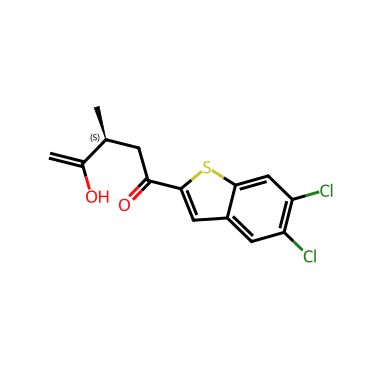 C=C(O)[C@@H](C)CC(=O)c1cc2cc(Cl)c(Cl)cc2s1